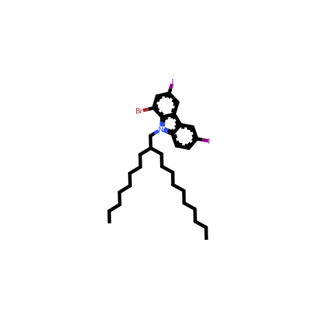 CCCCCCCCCCC(CCCCCCCC)Cn1c2ccc(I)cc2c2cc(I)cc(Br)c21